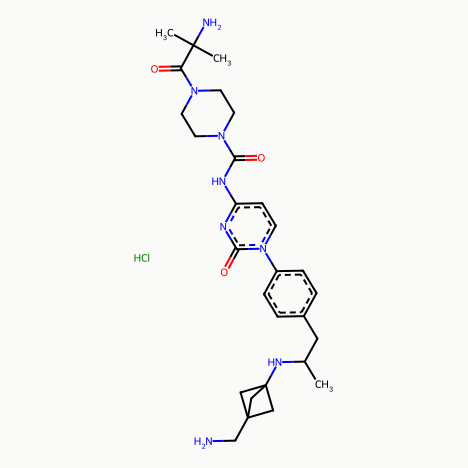 CC(Cc1ccc(-n2ccc(NC(=O)N3CCN(C(=O)C(C)(C)N)CC3)nc2=O)cc1)NC12CC(CN)(C1)C2.Cl